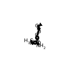 Cn1ncc2cc(C(N)=O)c(Oc3ccc(OCCOC4CN(C(=O)C5CC5)C4)cc3)cc21